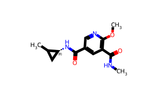 CNC(=O)c1cc(C(=O)N[C@@H]2CC2C)cnc1OC